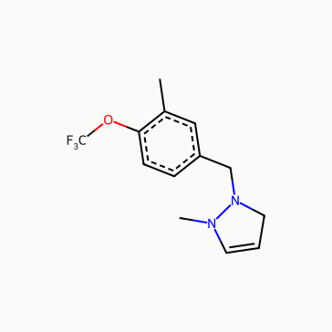 Cc1cc(CN2CC=CN2C)ccc1OC(F)(F)F